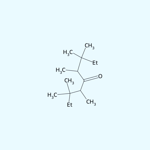 CCC(C)(C)C(C)C(=O)C(C)C(C)(C)CC